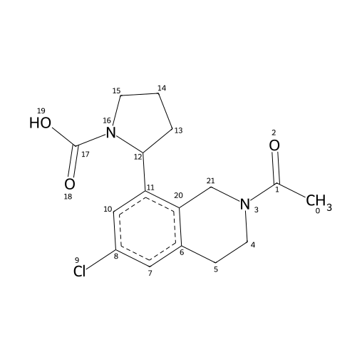 CC(=O)N1CCc2cc(Cl)cc(C3CCCN3C(=O)O)c2C1